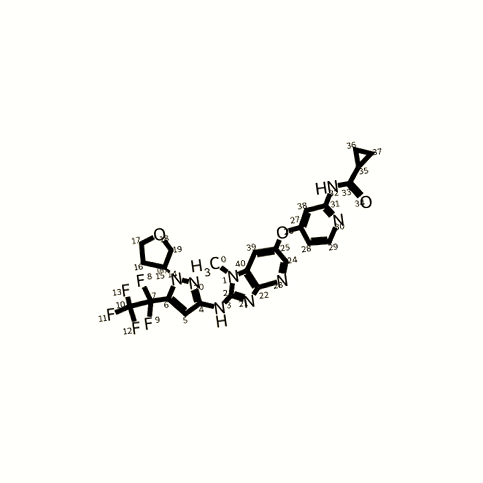 Cn1c(Nc2cc(C(F)(F)C(F)(F)F)n([C@@H]3CCOC3)n2)nc2ncc(Oc3ccnc(NC(=O)C4CC4)c3)cc21